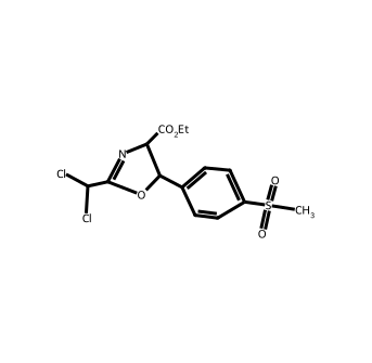 CCOC(=O)C1N=C(C(Cl)Cl)OC1c1ccc(S(C)(=O)=O)cc1